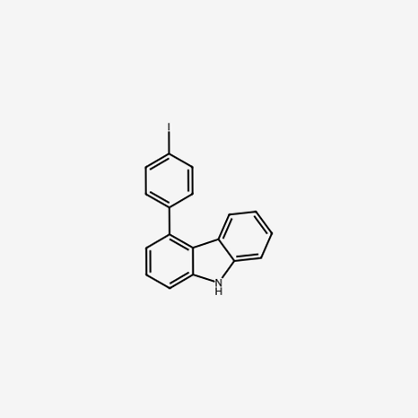 Ic1ccc(-c2cccc3[nH]c4ccccc4c23)cc1